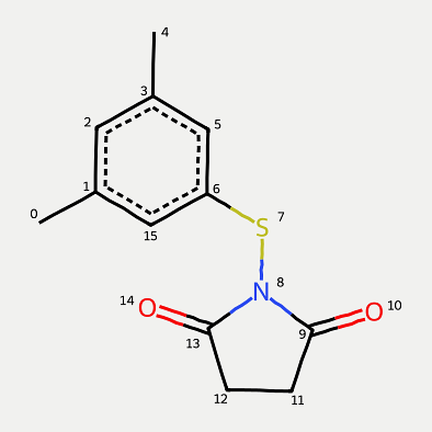 Cc1cc(C)cc(SN2C(=O)CCC2=O)c1